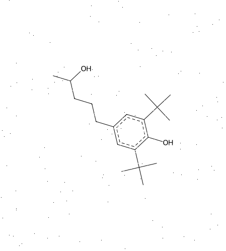 CC(O)CCCc1cc(C(C)(C)C)c(O)c(C(C)(C)C)c1